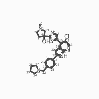 CN1CCC(O)(c2ncc(-c3c(Cl)cnc4[nH]c(-c5ccc(CN6CCCC6)cc5)cc34)s2)C1